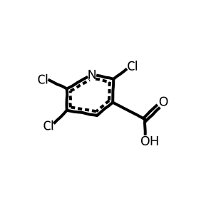 O=C(O)c1cc(Cl)c(Cl)nc1Cl